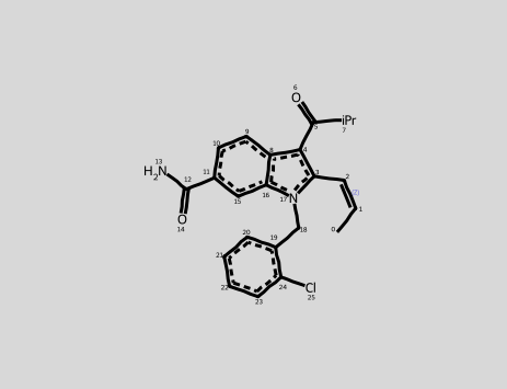 C/C=C\c1c(C(=O)C(C)C)c2ccc(C(N)=O)cc2n1Cc1ccccc1Cl